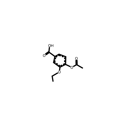 CCOc1cc(C(=O)O)ccc1OC(C)=O